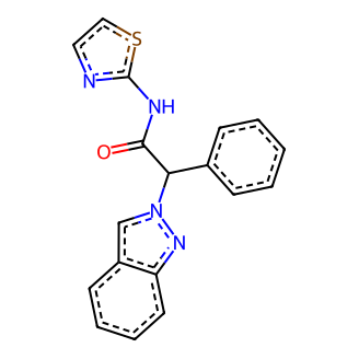 O=C(Nc1nccs1)C(c1ccccc1)n1cc2ccccc2n1